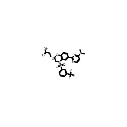 CN(C)c1ccnc(-c2ccc3c(c2)N(S(=O)(=O)c2cccc(C(F)(F)F)c2)C[C@H](CCC(=O)O)O3)n1